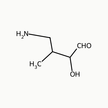 CC(CN)C(O)C=O